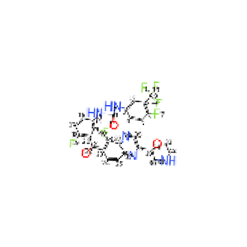 O=C(Nc1ccc(F)c(C(F)(F)F)c1)Nc1ccc(F)c(C(=O)c2ccc3nc(C4CNCCO4)cnc3c2)c1F